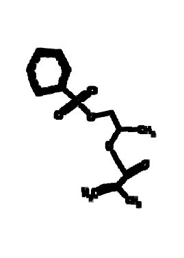 C=C(C)C(=O)OC(C)COS(=O)(=O)c1ccccc1